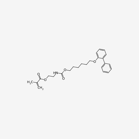 C=C(C)C(=O)OCCNC(=O)OCCCCCCOc1ccccc1-c1ccccc1